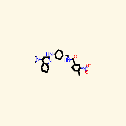 Cc1ccc(C(=O)NC[C@H]2CC[C@@H](Nc3cc(N(C)C)c4ccccc4n3)CC2)cc1[N+](=O)[O-]